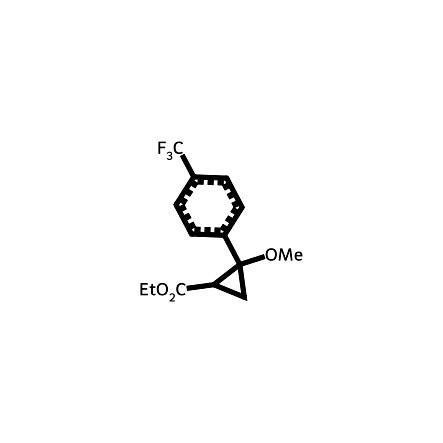 CCOC(=O)C1CC1(OC)c1ccc(C(F)(F)F)cc1